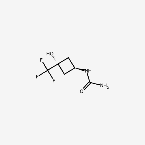 NC(=O)N[C@H]1C[C@@](O)(C(F)(F)F)C1